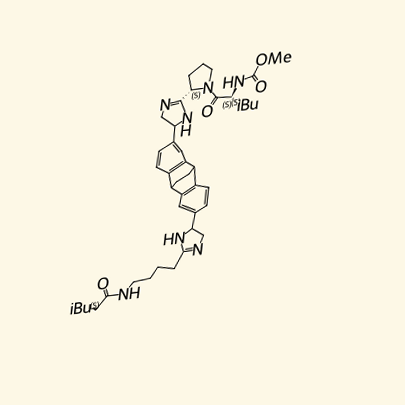 CC[C@H](C)CC(=O)NCCCCC1=NCC(c2ccc3c(c2)C2CCC3c3cc(C4CN=C([C@@H]5CCCN5C(=O)[C@@H](NC(=O)OC)[C@@H](C)CC)N4)ccc32)N1